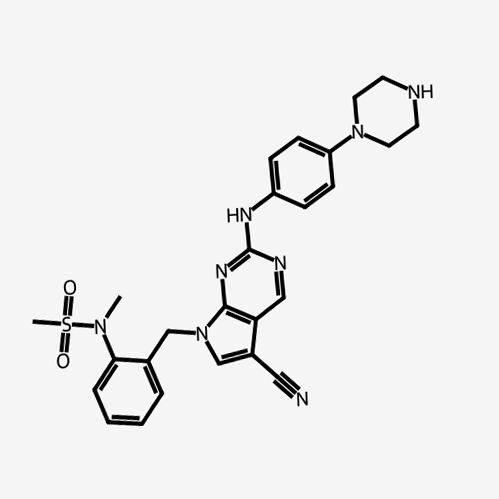 CN(c1ccccc1Cn1cc(C#N)c2cnc(Nc3ccc(N4CCNCC4)cc3)nc21)S(C)(=O)=O